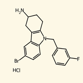 Cl.NC1CCc2c(c3cc(Br)ccc3n2Cc2cccc(F)c2)C1